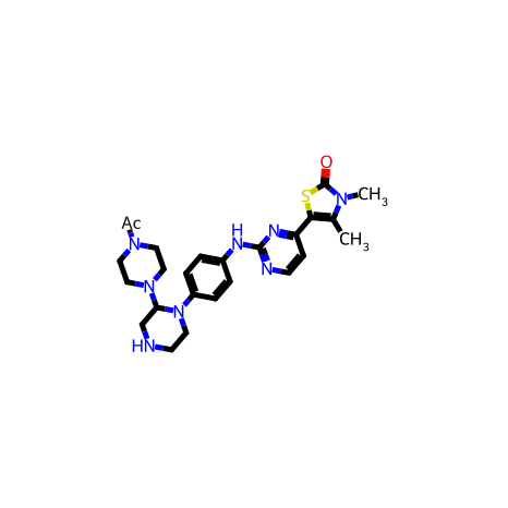 CC(=O)N1CCN(C2CNCCN2c2ccc(Nc3nccc(-c4sc(=O)n(C)c4C)n3)cc2)CC1